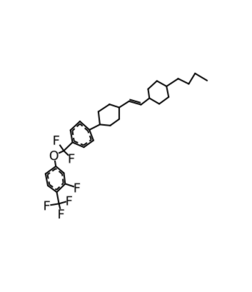 CCCCC1CCC(/C=C/C2CCC(c3ccc(C(F)(F)Oc4ccc(C(F)(F)F)c(F)c4)cc3)CC2)CC1